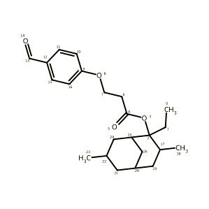 CCC1(OC(=O)CCOc2ccc(C=O)cc2)C(C)CC2CC(C)CC1C2